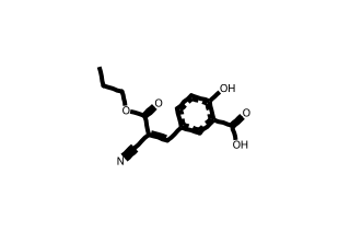 CCCOC(=O)C(C#N)=Cc1ccc(O)c(C(=O)O)c1